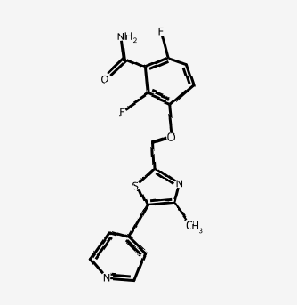 Cc1nc(COc2ccc(F)c(C(N)=O)c2F)sc1-c1ccncc1